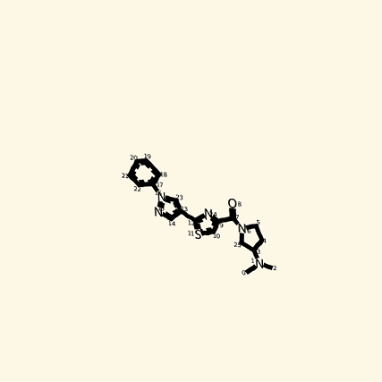 CN(C)C1CCN(C(=O)c2csc(-c3cnn(-c4ccccc4)c3)n2)C1